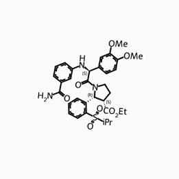 CCOC(=O)[C@H]1CCN(C(=O)[C@@H](Nc2cccc(C(N)=O)c2)c2ccc(OC)c(OC)c2)[C@H]1c1ccccc1S(=O)(=O)C(C)C